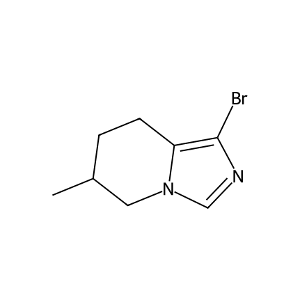 CC1CCc2c(Br)ncn2C1